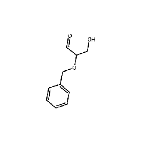 O=CC([CH]O)OCc1ccccc1